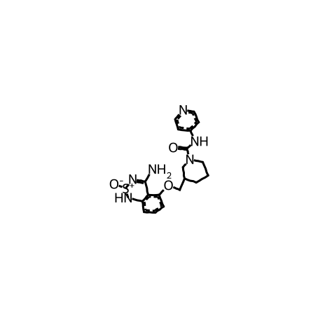 NC1=N[S+]([O-])Nc2cccc(OCC3CCCN(C(=O)Nc4ccncc4)C3)c21